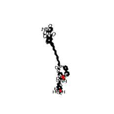 CC(C)(C)[C@H](NC(=O)c1cc2cc(C(F)(F)P(=O)(O)O)ccc2s1)C(=O)N1C[C@@H](OCC(=O)NCCCCCCCCC#Cc2ccc3c(c2)C(=O)N(C2CCC(=O)NC2=O)C3=O)C[C@H]1C(=O)N1CCCC(c2ccccc2)C1